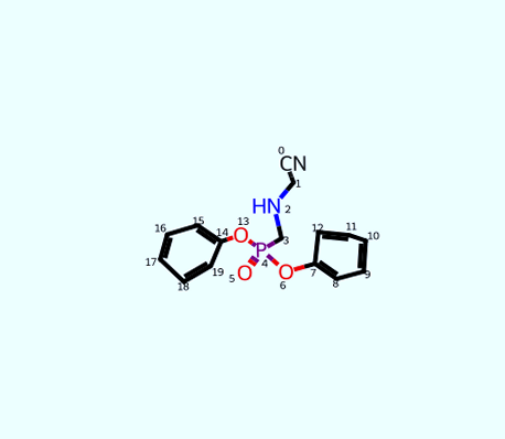 N#CCNCP(=O)(Oc1ccccc1)Oc1ccccc1